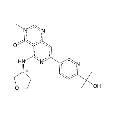 Cn1cnc2cc(-c3ccc(C(C)(C)O)nc3)nc(N[C@H]3CCOC3)c2c1=O